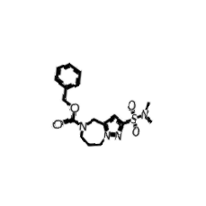 CN(C)S(=O)(=O)c1cc2n(n1)CCCN(C(=O)OCc1ccccc1)C2